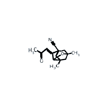 CC(=O)/C=C1\C2OC3(C)CC1(C#N)CC2(C)C3